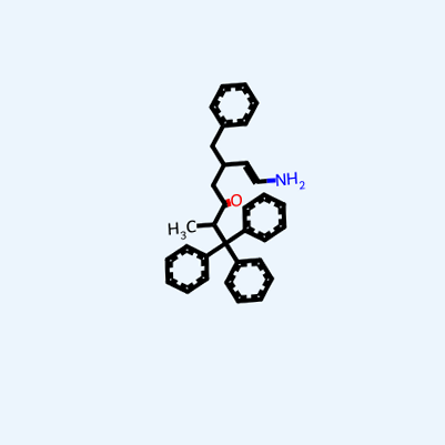 CC(C(=O)CC(C=CN)Cc1ccccc1)C(c1ccccc1)(c1ccccc1)c1ccccc1